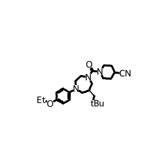 CCOc1ccc(N2CCN(C(=O)N3CCC(C#N)CC3)C[C@@H](CC(C)(C)C)C2)cc1